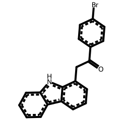 O=C(Cc1cccc2c1[nH]c1ccccc12)c1ccc(Br)cc1